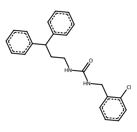 O=C(NCCC(c1ccccc1)c1ccccc1)NCc1ccccc1Cl